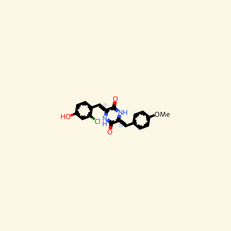 COc1ccc(/C=c2\[nH]c(=O)/c(=C/c3ccc(O)cc3Cl)[nH]c2=O)cc1